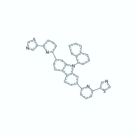 c1cc(-c2ccc3c4ccc(-c5cccc(-c6cncs6)n5)cc4n(-c4cccc5ccccc45)c3c2)nc(-c2cncs2)c1